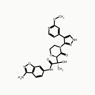 COc1cc(-c2c[nH]nc2N2CCO[C@H]([C@@](C)(O)C(=O)Nc3ccc4c(N)noc4c3)C2=O)ccn1